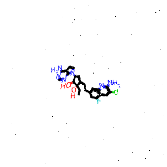 CCC1(O)C(CCc2cc(F)c3cc(Cl)c(N)nc3c2)=CC(n2ccc3c(N)ncnc32)C1O